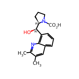 Cc1cc2cccc([C@@H](O)[C@H]3CCCN3C(=O)O)c2nc1C